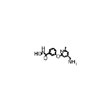 Cc1cc(CN)cc(Oc2cccc(C(=O)NO)c2)n1